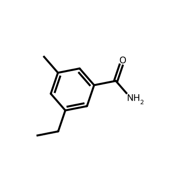 CCc1cc(C)cc(C(N)=O)c1